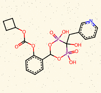 O=C(Oc1ccccc1C1OP(=O)(O)C(O)(Cc2cccnc2)P(=O)(O)O1)OC1CCC1